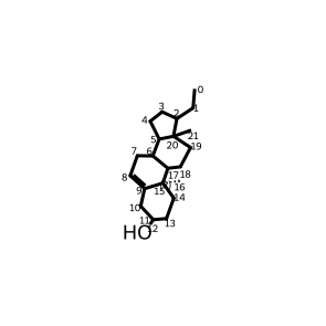 CCC1CCC2C3CC=C4CC(O)CC[C@]4(C)C3CCC12C